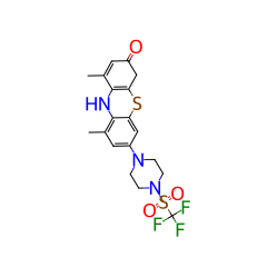 CC1=CC(=O)CC2=C1Nc1c(C)cc(N3CCN(S(=O)(=O)C(F)(F)F)CC3)cc1S2